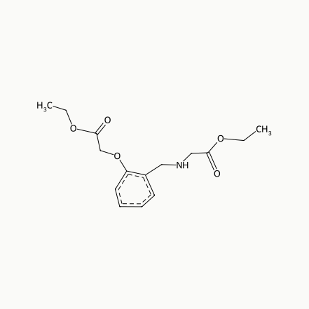 CCOC(=O)CNCc1ccccc1OCC(=O)OCC